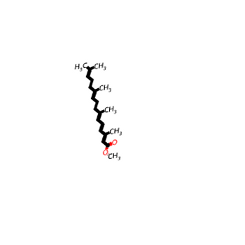 COC(=O)/C=C(C)/C=C/C=C(\C)CC/C=C(\C)CCC=C(C)C